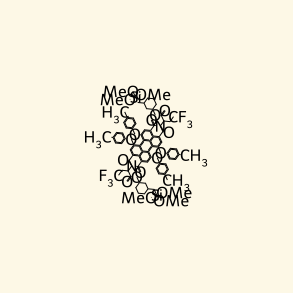 CO[Si](CC1CCCC(OC(=O)C(CC(F)(F)F)N2C(=O)c3cc(Oc4ccc(C)cc4)c4c5c(Oc6ccc(C)cc6)cc6c7c(cc(Oc8ccc(C)cc8)c(c8c(Oc9ccc(C)cc9)cc(c3c48)C2=O)c75)C(=O)N(C(CC(F)(F)F)C(=O)OC2CCCC(C[Si](OC)(OC)OC)C2)C6=O)C1)(OC)OC